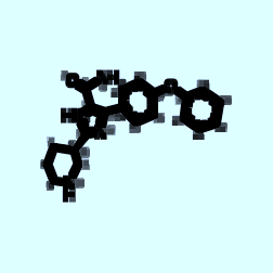 NC(=O)c1[nH]c([C@@H]2CCCNC2)nc1-c1ccc(Oc2ccccc2)cc1